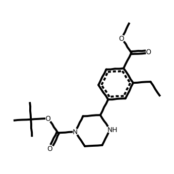 CCc1cc(C2CN(C(=O)OC(C)(C)C)CCN2)ccc1C(=O)OC